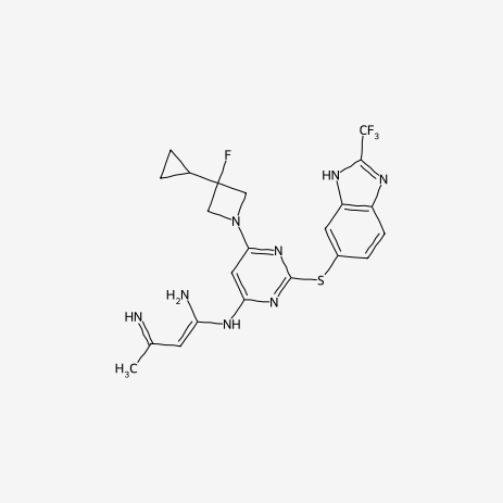 CC(=N)/C=C(\N)Nc1cc(N2CC(F)(C3CC3)C2)nc(Sc2ccc3nc(C(F)(F)F)[nH]c3c2)n1